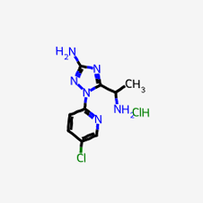 CC(N)c1nc(N)nn1-c1ccc(Cl)cn1.Cl